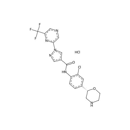 Cl.O=C(Nc1ccc([C@H]2CNCCO2)cc1Cl)c1cnn(-c2cncc(C(F)(F)F)n2)c1